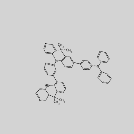 CC1(C)c2ccccc2N(c2cccc(-c3cccc4c3NC3=CC=NCC3C4(C)C)c2)c2ccc(-c3ccc(N(c4ccccc4)c4ccccc4)cc3)cc21